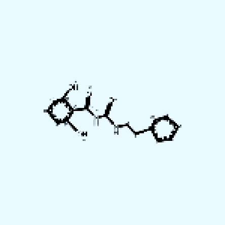 O=C(NCCc1ccccc1)NC(=O)c1c(O)cccc1O